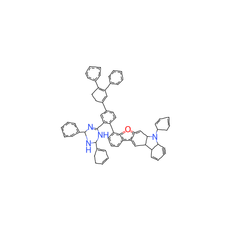 C1#CC2C(C=C1)C1C=c3c(oc4c(-c5ccc(C6=CC(c7ccccc7)=C(c7ccccc7)CC6)cc5C5=NC(c6ccccc6)NC(C6=CC=CCC6)N5)cccc34)=CC1N2C1C=CC=CC1